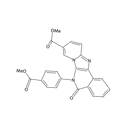 COC(=O)c1ccc(-n2c(=O)c3ccccc3c3nc4ccc(C(=O)OC)cn4c32)cc1